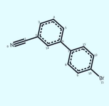 N#Cc1cccc(-c2ccc(Br)cc2)c1